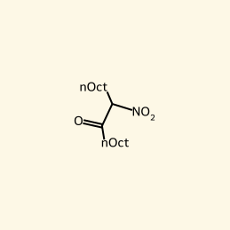 CCCCCCCCC(=O)C(CCCCCCCC)[N+](=O)[O-]